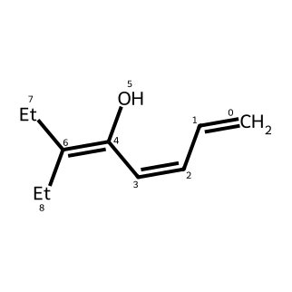 C=C/C=C\C(O)=C(CC)CC